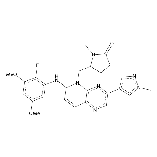 COc1cc(NC2C=Cc3ncc(-c4cnn(C)c4)nc3N2CC2CCC(=O)N2C)c(F)c(OC)c1